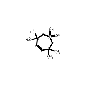 CC1(C)C=CC(C)(C)CS(=N)(=O)C1